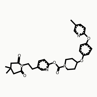 Cc1ccc(Oc2ccc(OC3CCN(C(=O)Oc4ccc(CCN5C(=O)CC(C)(C)CC5=O)cn4)CC3)cc2)nc1